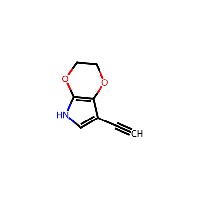 C#Cc1c[nH]c2c1OCCO2